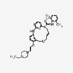 CCN1CCN(CCOc2ccc3cc2COC/C=C/CN(C(=O)Nc2c(C)cccc2C)c2ccnc(n2)N3)CC1